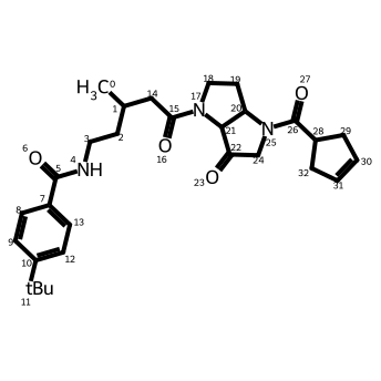 CC(CCNC(=O)c1ccc(C(C)(C)C)cc1)CC(=O)N1CCC2C1C(=O)CN2C(=O)C1CC=CC1